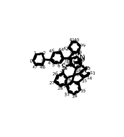 C1=CCC(c2ccc(-c3nc(-c4cccc5c4C4(c6ccccc6Sc6ccccc64)c4ccccc4-5)nc4ccccc34)cc2)C=C1